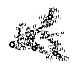 CC[C@H](C)[C@H](NC(=O)[C@H](Cc1ccccc1)NC(=O)[C@@H](N)CCC(=O)OC(C)(C)C)C(=O)N[C@@H](C)C(=O)N[C@@H](Cc1cn(C(=O)OC(C)(C)C)c2ccccc12)C(=O)N[C@@H](CC(C)C)C(=O)N[C@H](C(=O)N[C@@H](CCCNC(=N)NS(=O)(=O)c1c(C)c(C)c2c(c1C)CC(C)(C)O2)C(=O)NCC(=O)N[C@@H](CCCNC(=N)NS(=O)(=O)c1c(C)c(C)c2c(c1C)CC(C)(C)O2)C(=O)NCC(=O)O)C(C)C